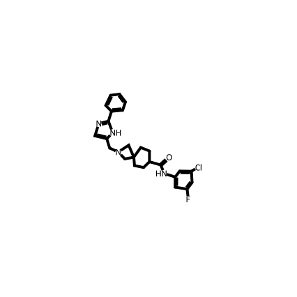 O=C(Nc1cc(F)cc(Cl)c1)C1CCC2(CC1)CN(Cc1cnc(-c3ccccc3)[nH]1)C2